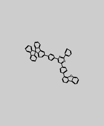 c1ccc(-c2nc(-c3ccc(-c4ccc5c(c4)-c4ccccc4C54c5ccccc5-c5ccccc54)cc3)cc(-c3ccc(-c4cccc5c4oc4ccccc45)cc3)n2)cc1